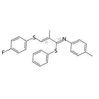 CC(=C\Sc1ccc(F)cc1)/C(=N/c1ccc(C)cc1)Sc1ccccc1